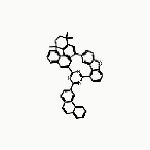 CC1(C)CCC(C)(C)c2cc(-c3ccc4oc5cccc(-c6nc(-c7ccc8ccccc8c7)nc(-c7ccc8ccc9ccccc9c8c7)n6)c5c4c3)ccc21